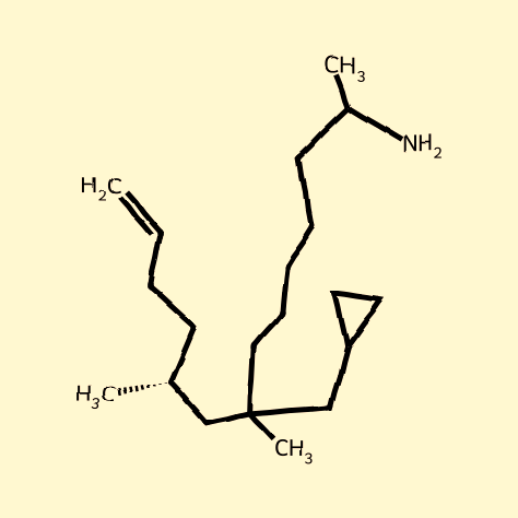 C=CCC[C@@H](C)CC(C)(CCCCCC(C)N)CC1CC1